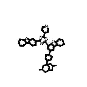 CC1CC2CC(C)CC(c3ccc(-c4cc(-c5nc(-c6ccncc6)nc(-c6ccc7c(c6)sc6ccccc67)n5)c5oc6ccccc6c5c4)cc3)(C1)C2